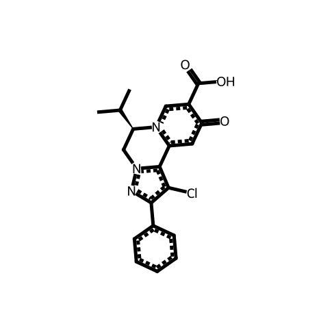 CC(C)[C@@H]1Cn2nc(-c3ccccc3)c(Cl)c2-c2cc(=O)c(C(=O)O)cn21